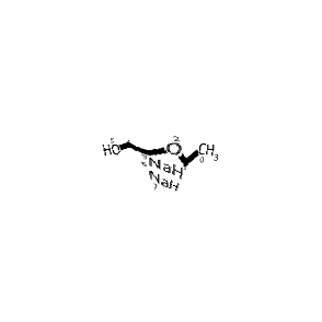 CCOCCO.[NaH].[NaH]